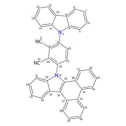 N#Cc1c(-n2c3ccccc3c3ccccc32)ccc(-n2c3ccccc3c3c4ccccc4c4ccccc4c32)c1C#N